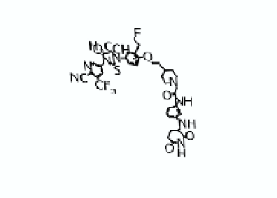 CC1(C)C(=O)N(c2cnc(C#N)c(C(F)(F)F)c2)C(=S)N1c1ccc(OCCC2CCN(CC(=O)Nc3cccc(NC4CCC(=O)NC4=O)c3)CC2)c(CCF)c1